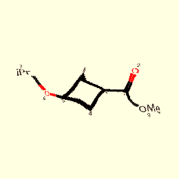 COC(=O)C1CC(OC(C)C)C1